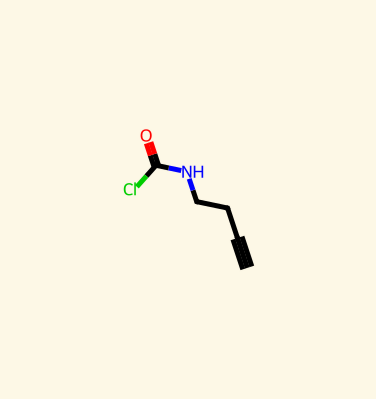 C#CCCNC(=O)Cl